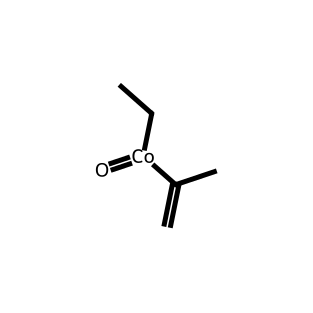 C=[C](C)[Co](=[O])[CH2]C